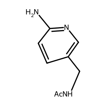 CC(=O)NCc1ccc(N)nc1